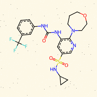 O=C(Nc1cccc(C(F)(F)F)c1)Nc1cc(S(=O)(=O)NC2CC2)cnc1N1CCCOCC1